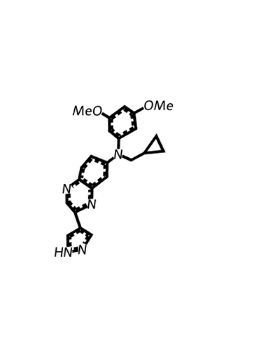 COc1cc(OC)cc(N(CC2CC2)c2ccc3ncc(-c4cn[nH]c4)nc3c2)c1